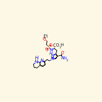 CCOCCS(=O)(=O)N[C@@H](Cc1nn(CCc2ccc3c(n2)NCCC3)cc1C(N)=O)C(=O)O